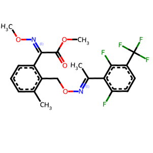 CO/N=C(/C(=O)OC)c1cccc(C)c1CO/N=C(\C)c1c(F)ccc(C(F)(F)F)c1F